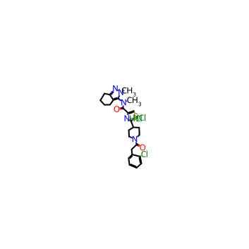 CN(C(=O)c1csc(C2CCN(C(=O)Cc3ccccc3Cl)CC2)n1)c1c2c(nn1C)CCCC2.Cl.Cl